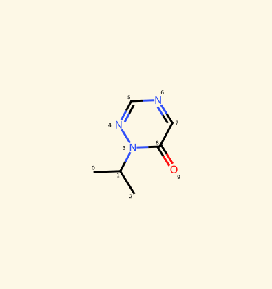 CC(C)n1ncncc1=O